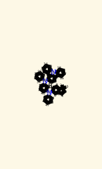 CC1(C)C=Cc2cc3c(cc21)B1c2cc4c5ccccc5n5c6ccccc6c(c2N(c2ccccc2)c2cccc(c21)N3c1ccccc1)c45